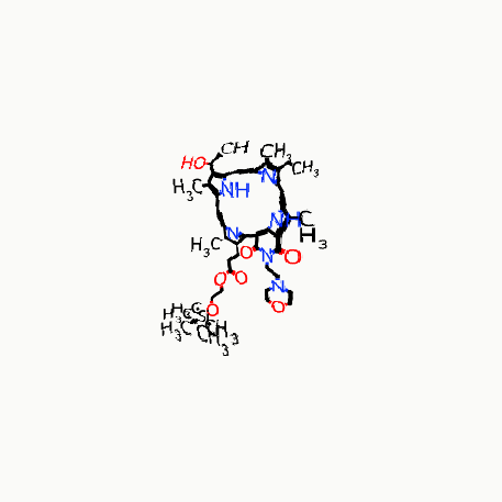 C#CC(O)c1c(C)c2cc3nc(c4c5[nH]c(cc6nc(cc1[nH]2)C(C)=C6CC)c(C)c5C(=O)N(CCN1CCOCC1)C4=O)[C@@H](CCC(=O)OCCO[Si](C)(C)C(C)(C)C)[C@@H]3C